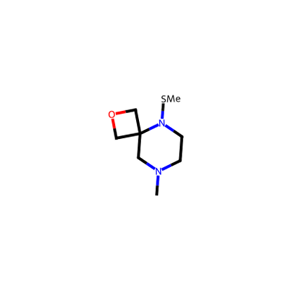 CSN1CCN(C)CC12COC2